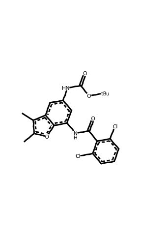 Cc1oc2c(NC(=O)c3c(Cl)cccc3Cl)cc(NC(=O)OC(C)(C)C)cc2c1C